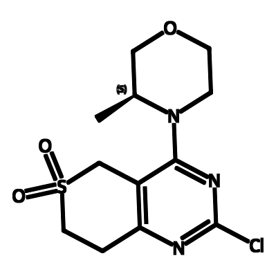 C[C@H]1COCCN1c1nc(Cl)nc2c1CS(=O)(=O)CC2